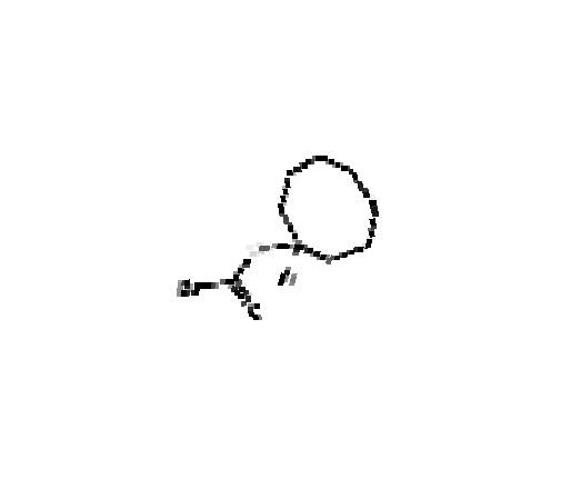 CCC(C)C(=O)OC1(CC)CCCCCCC1